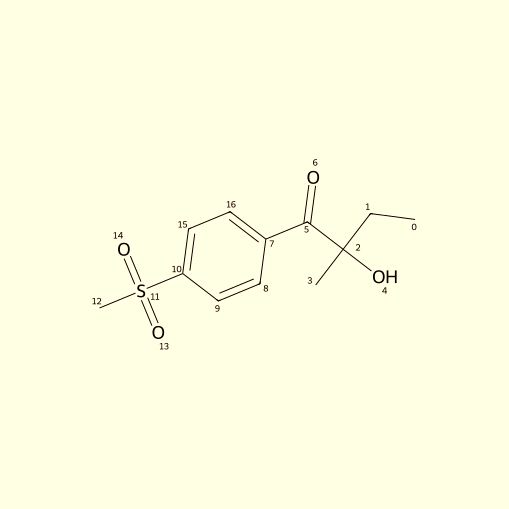 CCC(C)(O)C(=O)c1ccc(S(C)(=O)=O)cc1